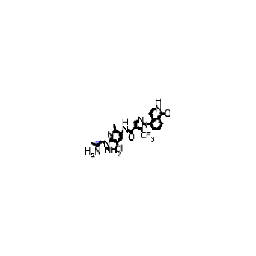 C/C(N)=C/N(N)c1nc(C)c(NC(=O)c2cnn(-c3cccc4c(=O)[nH]ccc34)c2C(F)(F)F)cc1Cl